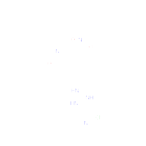 N=C(NCCCCCCC(=O)N(OCCN1CCOCC1)C1CCCCC1)Nc1ccnc(Cl)c1